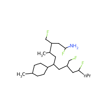 CCCC(F)CC(CF)CC(CC(C)C(CF)CC(N)F)C1CCC(C)CC1